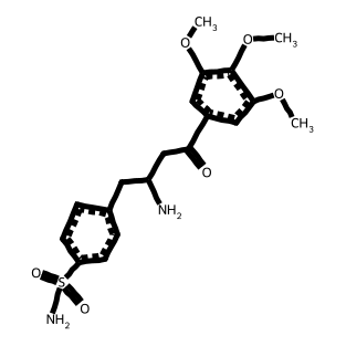 COc1cc(C(=O)CC(N)Cc2ccc(S(N)(=O)=O)cc2)cc(OC)c1OC